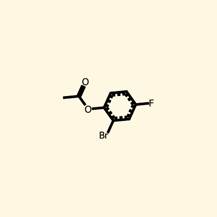 CC(=O)Oc1ccc(F)cc1Br